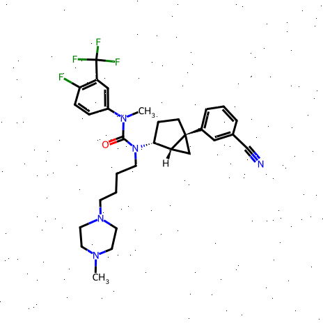 CN1CCN(CCCCN(C(=O)N(C)c2ccc(F)c(C(F)(F)F)c2)[C@@H]2CC[C@]3(c4cccc(C#N)c4)C[C@H]23)CC1